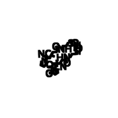 CC(CC(C)(C#N)CCC(=O)NCCC[Si](C)(C)O[Si](C)(C)O[Si](C)(C)CCCNC(=O)CCC(C)(C#N)CC(C)N1CCCC1=O)N1CCCC1=O